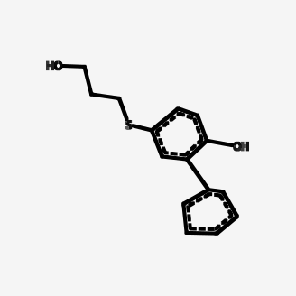 OCCCSc1ccc(O)c(-c2ccccc2)c1